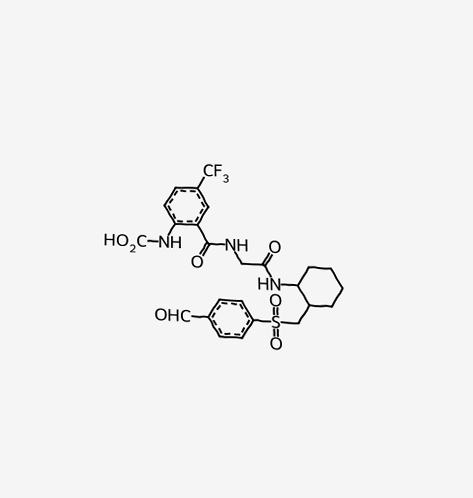 O=Cc1ccc(S(=O)(=O)CC2CCCCC2NC(=O)CNC(=O)c2cc(C(F)(F)F)ccc2NC(=O)O)cc1